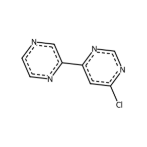 Clc1cc(-c2cnccn2)ncn1